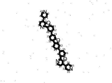 c1cc(-c2ccnc3c2oc2ccc(-c4ccc5c(c4)oc4cc(-c6ccc7oc8c(-c9ccncc9)ccnc8c7c6)ccc45)cc23)ccn1